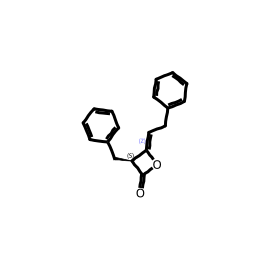 O=C1O/C(=C\Cc2ccccc2)[C@@H]1Cc1ccccc1